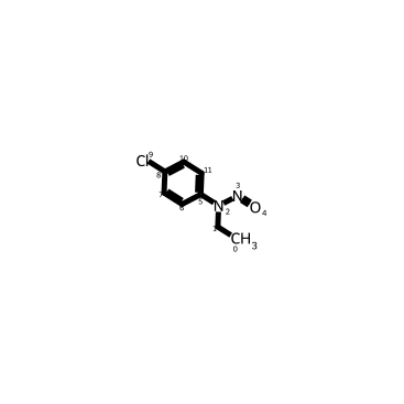 CCN(N=O)c1ccc(Cl)cc1